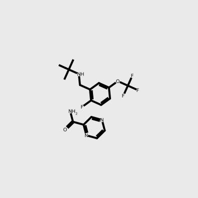 CC(C)(C)NCc1cc(OC(F)(F)F)ccc1F.NC(=O)c1cnccn1